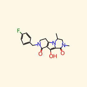 CC1CN(C)C(=O)c2c(O)c3c(n21)CCN(Cc1ccc(F)cc1)C3=O